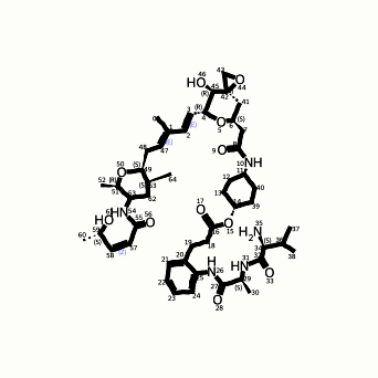 CC(/C=C/[C@H]1O[C@H](CC(=O)N[C@H]2CC[C@@H](OC(=O)CCc3ccccc3NC(=O)[C@H](C)NC(=O)[C@@H](N)C(C)C)CC2)C[C@@]2(CO2)[C@@H]1O)=C\C[C@@H]1O[C@H](C)C(NC(=O)/C=C\[C@H](C)O)C[C@@H]1C